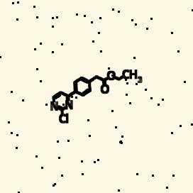 CCOC(=O)Cc1ccc(-c2ccnc(Cl)n2)cc1